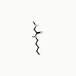 CCCCCNC(=O)COC